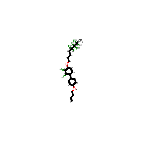 C=CCCOc1ccc(-c2ccc(OCCCCC(F)(F)C(F)(F)C(F)(F)C(F)(F)F)c(F)c2F)cc1